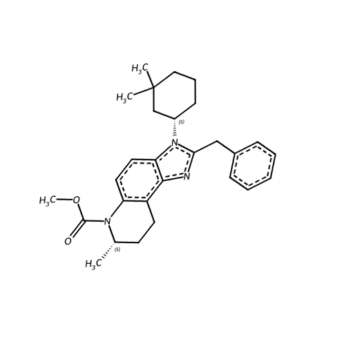 COC(=O)N1c2ccc3c(nc(Cc4ccccc4)n3[C@H]3CCCC(C)(C)C3)c2CC[C@@H]1C